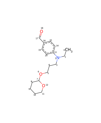 CCN(CCCOC1CCCCO1)c1ccc(C=O)cc1